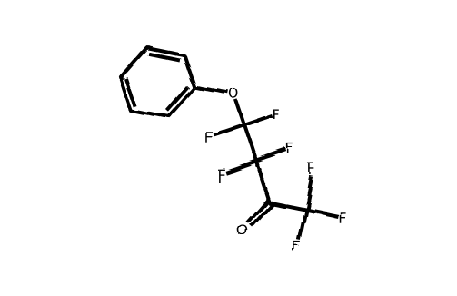 O=C(C(F)(F)F)C(F)(F)C(F)(F)Oc1ccccc1